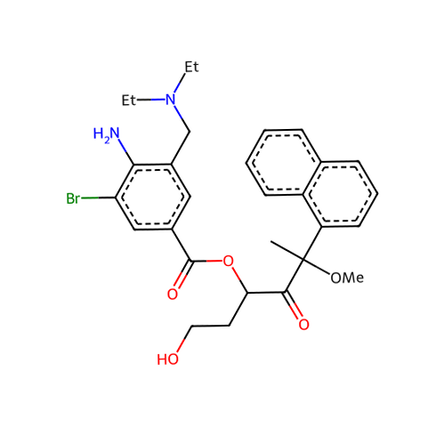 CCN(CC)Cc1cc(C(=O)OC(CCO)C(=O)C(C)(OC)c2cccc3ccccc23)cc(Br)c1N